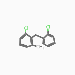 Cc1cccc(Cl)c1Cc1ccccc1Cl